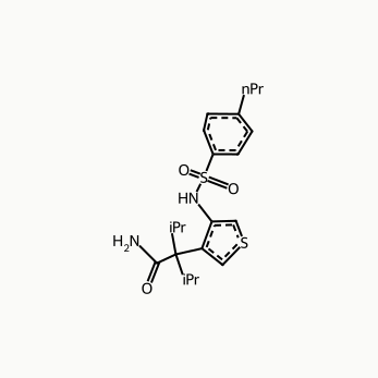 CCCc1ccc(S(=O)(=O)Nc2cscc2C(C(N)=O)(C(C)C)C(C)C)cc1